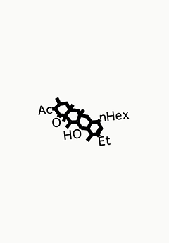 CCCCCCC1C=C(CC)C(C)C2C(O)C3C(C)C4(C)C(=O)C(C(C)=O)C(C)CC4(C)CC3(C)CC12